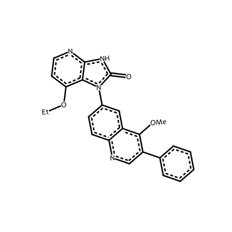 CCOc1ccnc2[nH]c(=O)n(-c3ccc4ncc(-c5ccccc5)c(OC)c4c3)c12